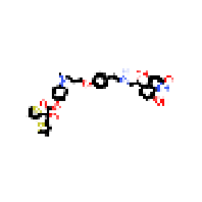 CN(CCCOc1ccc(CCNC[C@H](O)c2ccc(O)c3[nH]c(=O)ccc23)cc1)C1CCC(OC(=O)C(O)(c2cccs2)c2cccs2)CC1